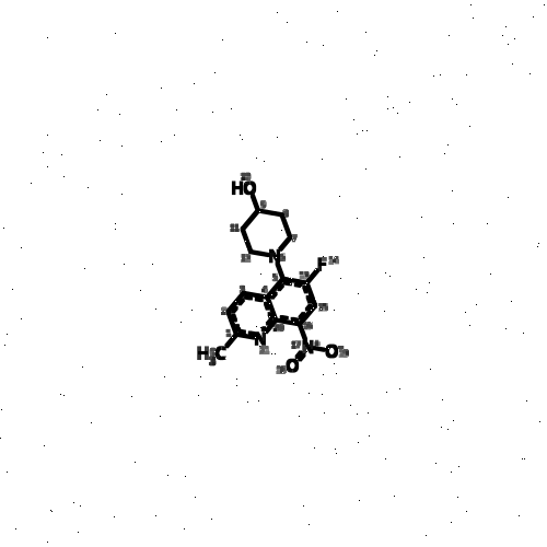 Cc1ccc2c(N3CCC(O)CC3)c(F)cc([N+](=O)[O-])c2n1